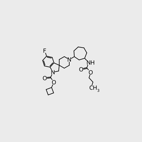 CCCOC(=O)NC1CCCCC(N2CCC3(CC2)CN(C(=O)OC2CCC2)c2ccc(F)cc23)C1